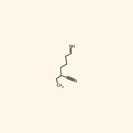 CCC(C#N)CCCC=N